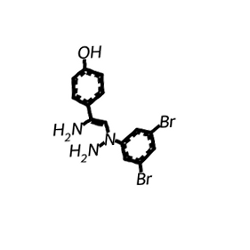 N/C(=C\N(N)c1cc(Br)cc(Br)c1)c1ccc(O)cc1